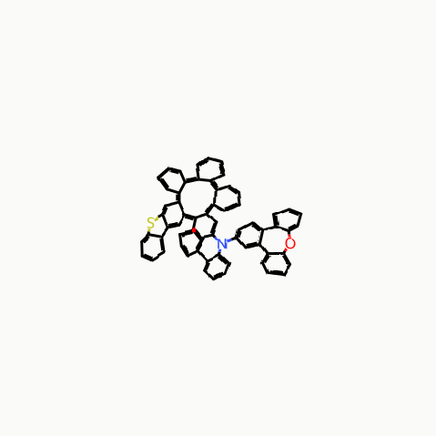 c1ccc(-c2ccccc2N(c2ccc3c(c2)-c2ccccc2Oc2ccccc2-3)c2ccc3c(c2)c2ccccc2c2ccccc2c2ccccc2c2cc4sc5ccccc5c4cc32)cc1